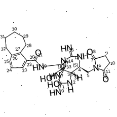 N=C1N[C@H]2[C@H](CN3C(=O)CCC3=O)NC(=N)N3CC(NC(=O)c4cccc5c4CCCCC5)C(O)(O)C23N1